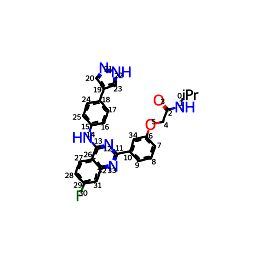 CC(C)NC(=O)COc1cccc(-c2nc(Nc3ccc(-c4cn[nH]c4)cc3)c3ccc(F)cc3n2)c1